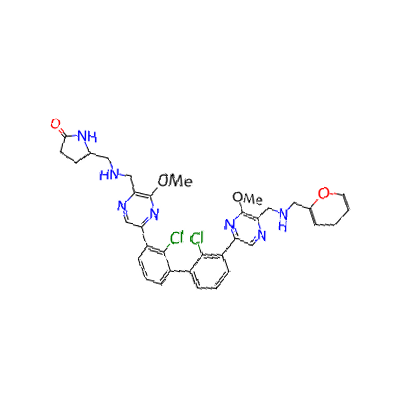 COc1nc(-c2cccc(-c3cccc(-c4cnc(CNCC5CCCCO5)c(OC)n4)c3Cl)c2Cl)cnc1CNCC1CCC(=O)N1